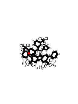 CC(C)(C)c1cc2c(cc1-c1ccccc1)[CH]([Zr]([C]1=CC=CC1)=[C](c1cccc(C(Cl)(Cl)Cl)c1)c1cccc(C(Cl)(Cl)Cl)c1)c1cc(-c3ccccc3)c(C(C)(C)C)cc1-2